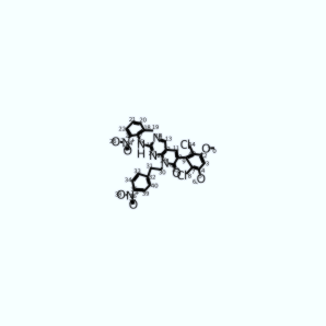 COc1cc(OC)c(Cl)c(-c2cc3cnc(Nc4c(C)cccc4[N+](=O)[O-])nc3n(CCc3ccc([N+](=O)[O-])cc3)c2=O)c1Cl